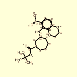 CC(C)(C)OC(=O)N1CCCC[C@@H](Nc2c([N+](=O)[O-])ccc3c2OCCO3)C1